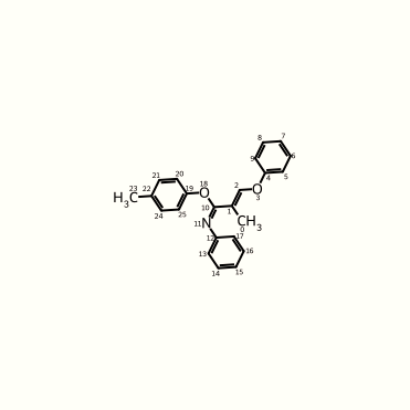 CC(=C\Oc1ccccc1)/C(=N\c1ccccc1)Oc1ccc(C)cc1